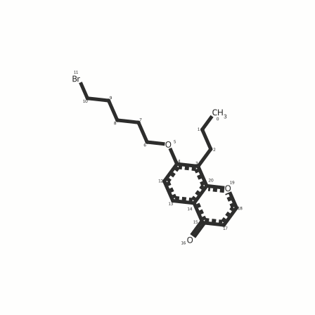 CCCc1c(OCCCCCBr)ccc2c(=O)ccoc12